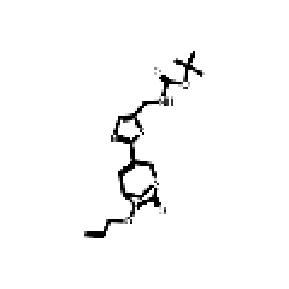 C=CCON1C(=O)N2CC(c3ncc(CNC(=O)OC(C)(C)C)s3)=CC1C2